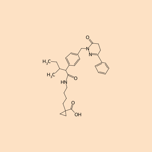 CCC(C)C(C(=O)NCCCCC1(C(=O)O)CC1)c1ccc(CN2N=C(c3ccccc3)CCC2=O)cc1